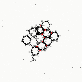 CC(C)(C)c1cc(-c2ccccc2N(c2ccccc2-c2cccc3cccc(C4CCCCC4)c23)c2ccccc2-c2cccc3sc4ccccc4c23)cc(C(C)(C)C)c1